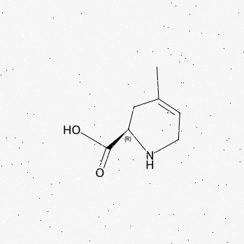 CC1=CCN[C@@H](C(=O)O)C1